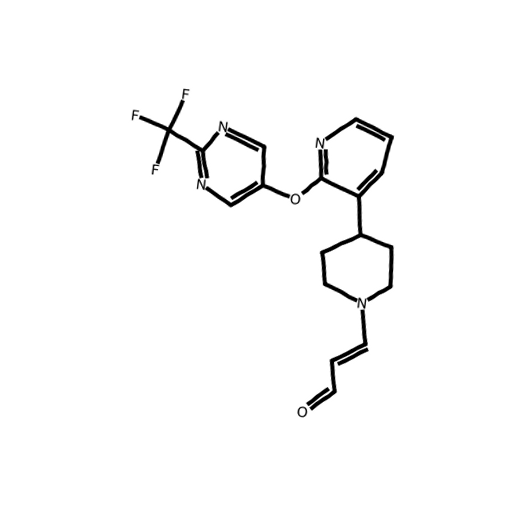 O=CC=CN1CCC(c2cccnc2Oc2cnc(C(F)(F)F)nc2)CC1